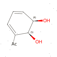 CC(=O)C1=CC=C[C@@H](O)[C@H]1O